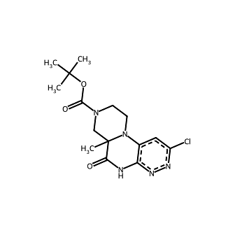 CC(C)(C)OC(=O)N1CCN2c3cc(Cl)nnc3NC(=O)C2(C)C1